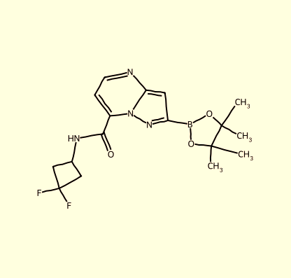 CC1(C)OB(c2cc3nccc(C(=O)NC4CC(F)(F)C4)n3n2)OC1(C)C